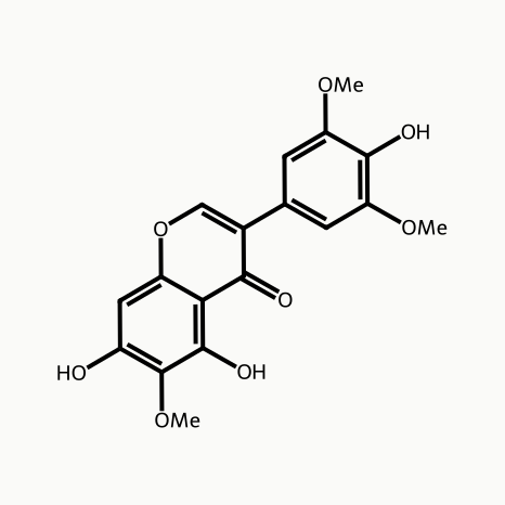 COc1cc(-c2coc3cc(O)c(OC)c(O)c3c2=O)cc(OC)c1O